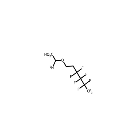 [3H]C(OCCC(F)(F)C(F)(F)C(F)(F)C(F)(F)F)C(=O)O